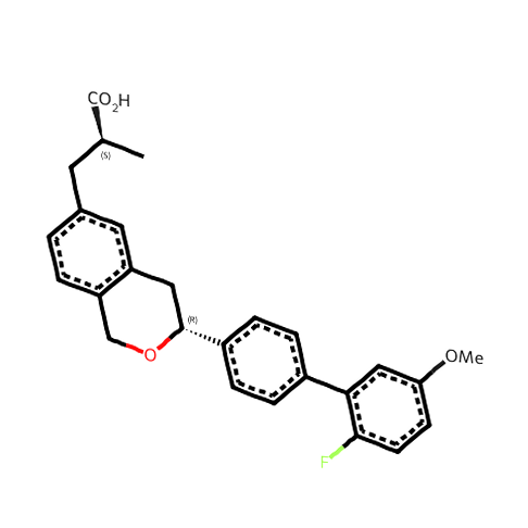 COc1ccc(F)c(-c2ccc([C@H]3Cc4cc(C[C@H](C)C(=O)O)ccc4CO3)cc2)c1